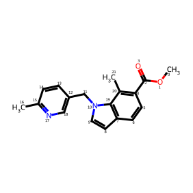 COC(=O)c1ccc2ccn(Cc3ccc(C)nc3)c2c1C